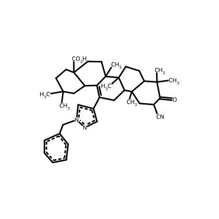 CC1(C)CCC2(C(=O)O)CCC3(C)C(=C(c4cnn(Cc5ccccc5)c4)CC4C5(C)CC(C#N)C(=O)C(C)(C)C5CCC43C)C2C1